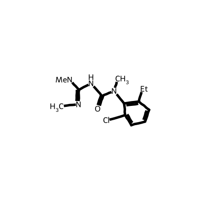 CCc1cccc(Cl)c1N(C)C(=O)NC(=NC)NC